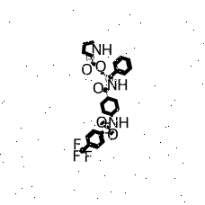 O=C(OC[C@@H](NC(=O)[C@H]1CC[C@H](NS(=O)(=O)c2ccc(C(F)(F)F)cc2)CC1)c1ccccc1)[C@@H]1CCCN1